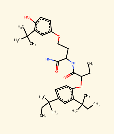 CCC(Oc1ccc(C(C)(C)CC)cc1C(C)(C)CC)C(=O)NC(CCOc1ccc(O)c(C(C)(C)C)c1)C([NH])=O